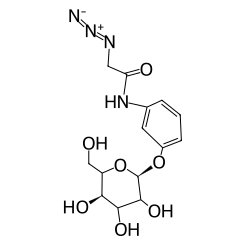 [N-]=[N+]=NCC(=O)Nc1cccc(O[C@@H]2OC(CO)[C@H](O)C(O)C2O)c1